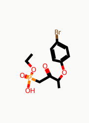 CCOP(=O)(O)CC(=O)C(C)Oc1ccc(Br)cc1